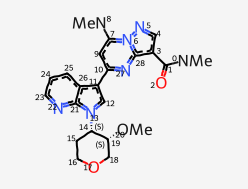 CNC(=O)c1cnn2c(NC)cc(-c3cn([C@H]4CCOC[C@H]4OC)c4ncccc34)nc12